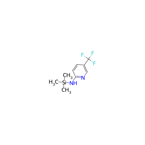 C[Si](C)(C)Nc1ccc(C(F)(F)F)cn1